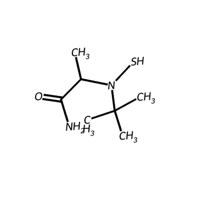 CC(C(N)=O)N(S)C(C)(C)C